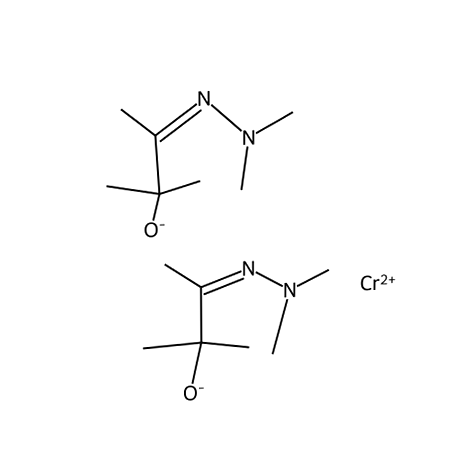 CC(=NN(C)C)C(C)(C)[O-].CC(=NN(C)C)C(C)(C)[O-].[Cr+2]